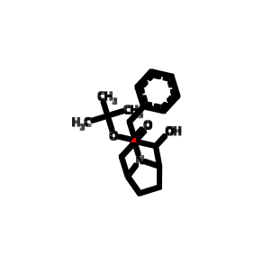 CC(C)(C)OC(=O)N1C2CCC1C(O)C(Cc1ccccc1)C2